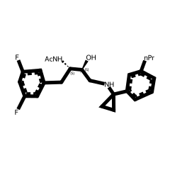 CCCc1cccc(C2(NC[C@H](O)[C@H](Cc3cc(F)cc(F)c3)NC(C)=O)CC2)c1